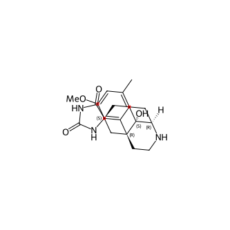 COc1cc(C)c2c(c1)[C@]13CCN[C@H](C2)[C@]1(O)CC[C@@]1(C3)NC(=O)NC1=O